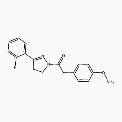 COc1ccc(CC(=O)N2CCC(c3ccccc3F)=N2)cc1